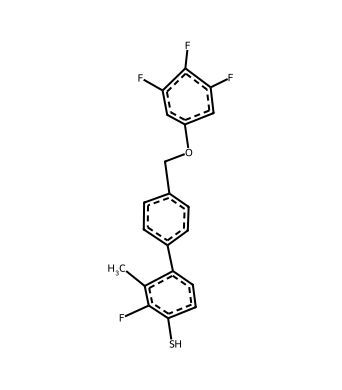 Cc1c(-c2ccc(COc3cc(F)c(F)c(F)c3)cc2)ccc(S)c1F